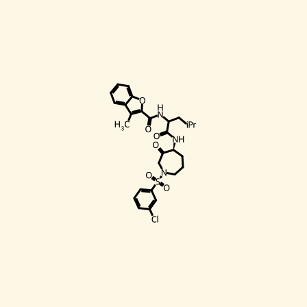 Cc1c(C(=O)NC(CC(C)C)C(=O)N[C@H]2CCCN(S(=O)(=O)c3cccc(Cl)c3)CC2=O)oc2ccccc12